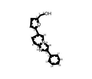 OCc1ccc(-c2ccc3nc(-c4ccccc4)cn3c2)o1